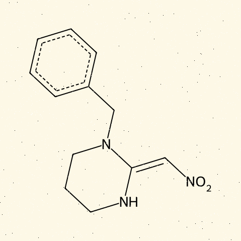 O=[N+]([O-])C=C1NCCCN1Cc1ccccc1